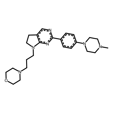 CN1CCN(c2ccc(-c3ncc4c(n3)N(CCCN3CCOCC3)CC4)cc2)CC1